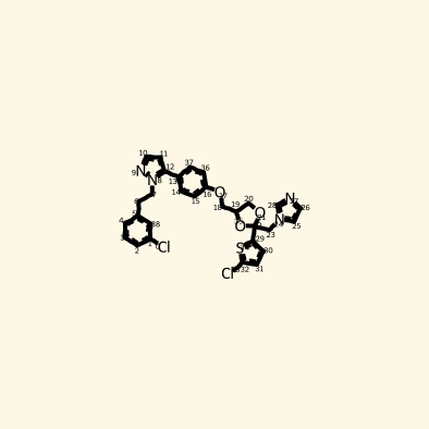 Clc1cccc(CCn2nccc2-c2ccc(OCC3COC(Cn4ccnc4)(c4ccc(Cl)s4)O3)cc2)c1